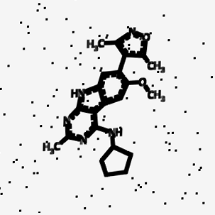 COc1cc2c(cc1-c1c(C)noc1C)[nH]c1nc(C)nc(NC3CCCC3)c12